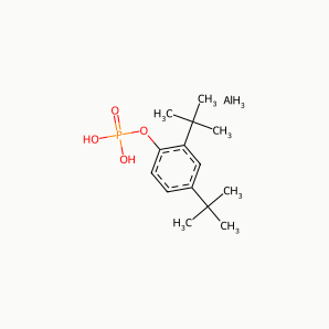 CC(C)(C)c1ccc(OP(=O)(O)O)c(C(C)(C)C)c1.[AlH3]